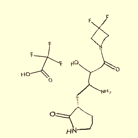 NC(C[C@@H]1CCNC1=O)C(O)C(=O)N1CC(F)(F)C1.O=C(O)C(F)(F)F